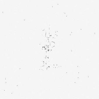 COc1ccccc1N1CCN(CCS(=O)(=O)Nc2cccc3c(=O)c(C)c(-c4ccccc4)oc23)CC1